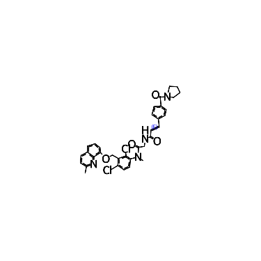 Cc1ccc2cccc(OCc3c(Cl)ccc(N(C)C(=O)CNC(=O)/C=C/c4ccc(C(=O)N5CCCC5)cc4)c3Cl)c2n1